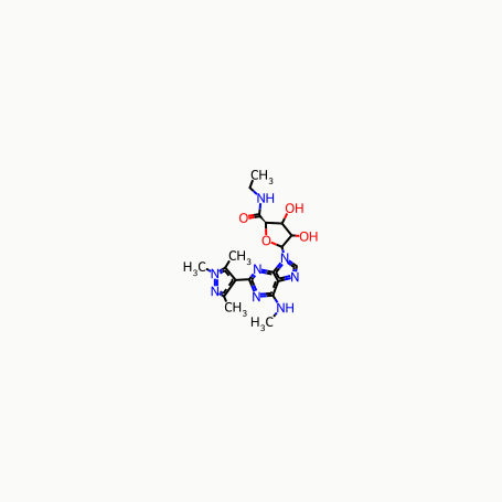 CCNC(=O)[C@@H]1OC(n2cnc3c(NC)nc(-c4c(C)nn(C)c4C)nc32)C(O)C1O